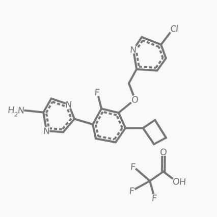 Nc1cnc(-c2ccc(C3CCC3)c(OCc3ccc(Cl)cn3)c2F)cn1.O=C(O)C(F)(F)F